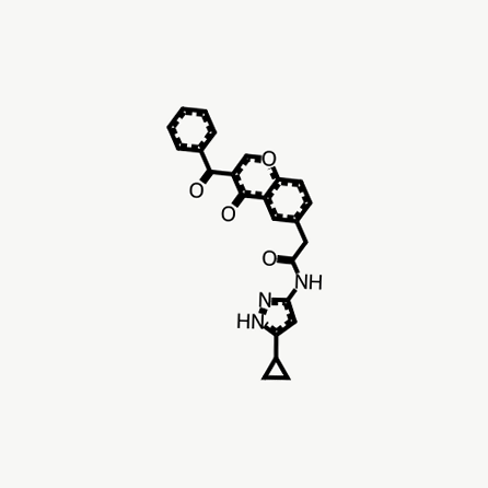 O=C(Cc1ccc2occ(C(=O)c3ccccc3)c(=O)c2c1)Nc1cc(C2CC2)[nH]n1